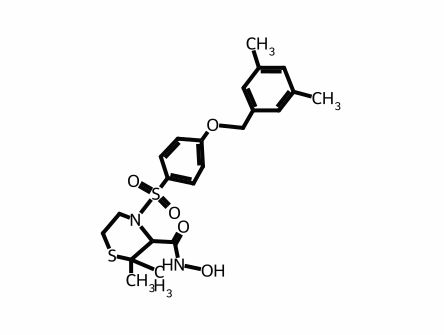 Cc1cc(C)cc(COc2ccc(S(=O)(=O)N3CCSC(C)(C)C3C(=O)NO)cc2)c1